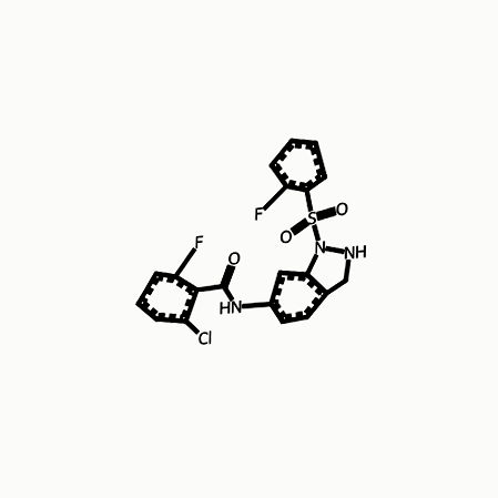 O=C(Nc1ccc2c(c1)N(S(=O)(=O)c1ccccc1F)NC2)c1c(F)cccc1Cl